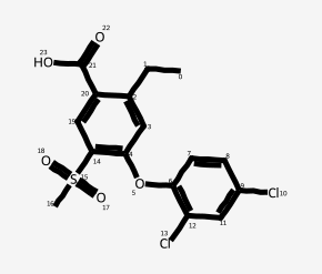 CCc1cc(Oc2ccc(Cl)cc2Cl)c(S(C)(=O)=O)cc1C(=O)O